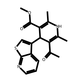 COC(=O)C1=C(C)NC(C)=C(C(C)=O)C1c1csc2ncccc12